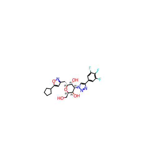 OC[C@H]1O[C@H](Cc2cc(C3CCCC3)on2)[C@H](O)[C@@H](n2cc(-c3cc(F)c(F)c(F)c3)nn2)[C@H]1O